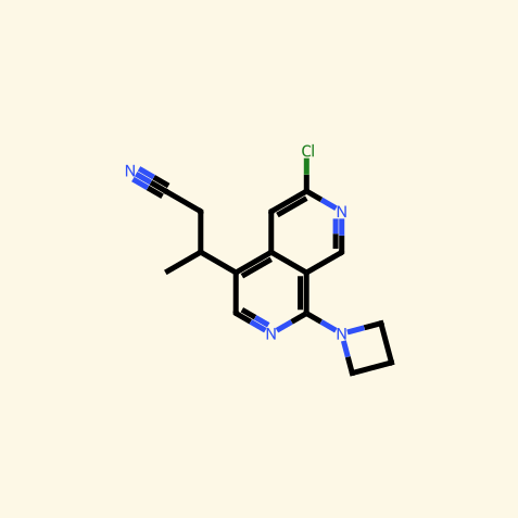 CC(CC#N)c1cnc(N2CCC2)c2cnc(Cl)cc12